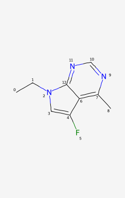 CCn1cc(F)c2c(C)ncnc21